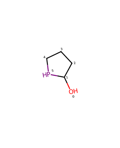 OC1CCCP1